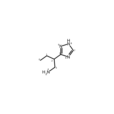 CCC(CN)c1nc[nH]n1